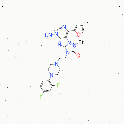 CCN1C(=O)N(CCN2CCN(c3ccc(F)cc3F)CC2)C2N=C3C(=C(c4ccco4)N=CN3N)N21